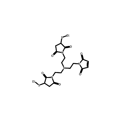 CCSC1CC(=O)N(CCN(CCN2C(=O)C=CC2=O)CCN2C(=O)CC(SCC)C2=O)C1=O